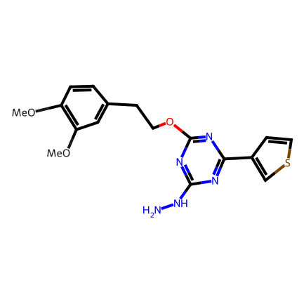 COc1ccc(CCOc2nc(NN)nc(-c3ccsc3)n2)cc1OC